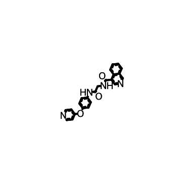 O=C(CNC(=O)c1cncc2ccccc12)Nc1ccc(Oc2ccncc2)cc1